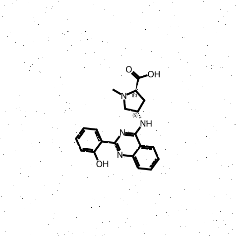 CN1C[C@@H](Nc2nc(-c3ccccc3O)nc3ccccc23)C[C@@H]1C(=O)O